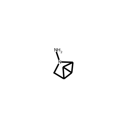 NN1CC2C3C2C31